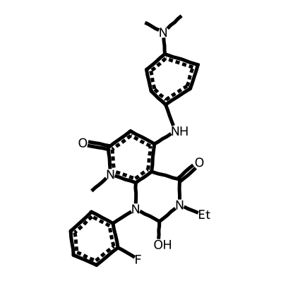 CCN1C(=O)c2c(Nc3ccc(N(C)C)cc3)cc(=O)n(C)c2N(c2ccccc2F)C1O